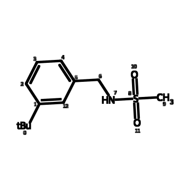 CC(C)(C)c1cccc(CNS(C)(=O)=O)c1